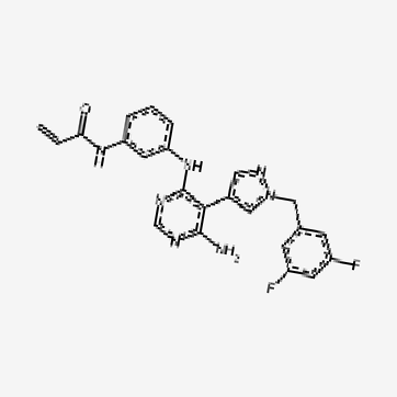 C=CC(=O)Nc1cccc(Nc2ncnc(N)c2-c2cnn(Cc3cc(F)cc(F)c3)c2)c1